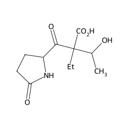 CCC(C(=O)O)(C(=O)C1CCC(=O)N1)C(C)O